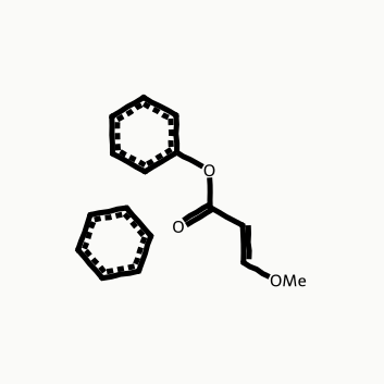 COC=CC(=O)Oc1ccccc1.c1ccccc1